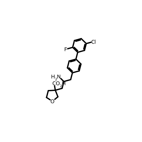 NC(Cc1ccc(-c2cc(Cl)ccc2F)cc1)CC1(C(=O)O)CCOC1